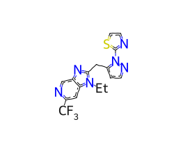 CCn1c(Cc2ccnn2-c2nccs2)nc2cnc(C(F)(F)F)cc21